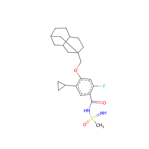 CS(=N)(=O)NC(=O)c1cc(C2CC2)c(OCC23CCC4CCC(CC4C2)C3)cc1F